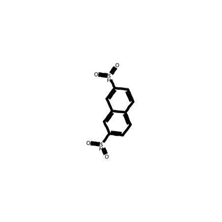 O=[SH](=O)c1ccc2ccc([SH](=O)=O)cc2c1